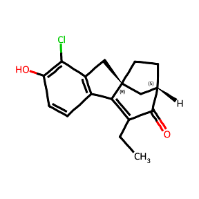 CCC1=C2c3ccc(O)c(Cl)c3C[C@]23CC[C@@H](C3)C1=O